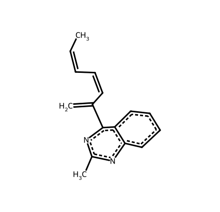 C=C(/C=C\C=C/C)c1nc(C)nc2ccccc12